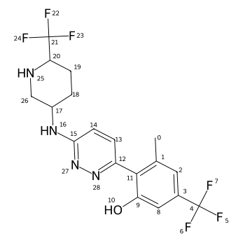 Cc1cc(C(F)(F)F)cc(O)c1-c1ccc(NC2CCC(C(F)(F)F)NC2)nn1